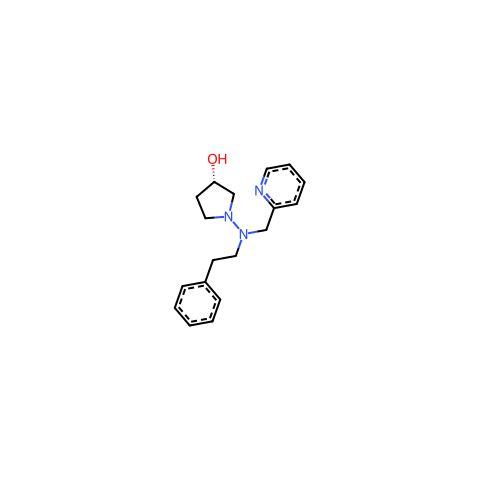 O[C@H]1CCN(N(CCc2ccccc2)Cc2ccccn2)C1